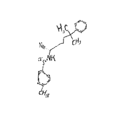 Cc1ccc([S@+]([O-])N[C@H](C#N)CCC(C)(C)c2ccccc2)cc1